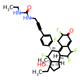 CCNC(=O)NCC#Cc1ccc([C@@H]2C3=C4C(=CC(=O)C(F)C4F)C(F)C(F)[C@H]3[C@@H]3CC[C@@](O)(CC)[C@@]3(C)C2F)cc1